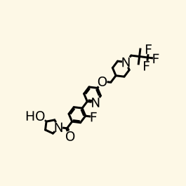 CC(C)(CN1CCC(COc2ccc(-c3ccc(C(=O)N4CC[C@@H](O)C4)cc3F)nc2)CC1)C(F)(F)F